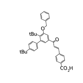 CC(C)(C)c1ccc(-c2cc(C(=O)C=Cc3ccc(C(=O)O)cc3)cc(OCc3ccccc3)c2C(C)(C)C)cc1